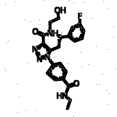 CCNC(=O)c1ccc(-n2nnc(C(=O)NCCO)c2CSc2cccc(F)c2)cc1